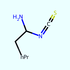 CCCCC(N)N=C=S